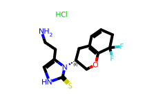 Cl.NCCc1c[nH]c(=S)n1[C@H]1COC2=C(C=CCC2(F)F)C1